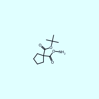 CC(C)(C)OC(=O)C1(C(=O)ON)CCCC1